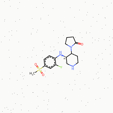 CS(=O)(=O)c1ccc(N[C@@H]2CNCCC2N2CCCC2=O)c(F)c1